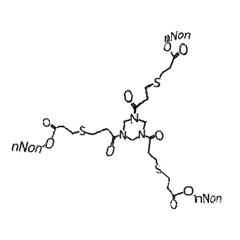 CCCCCCCCCOC(=O)CCSCCC(=O)N1CN(C(=O)CCSCCC(=O)OCCCCCCCCC)CN(C(=O)CCSCCC(=O)OCCCCCCCCC)C1